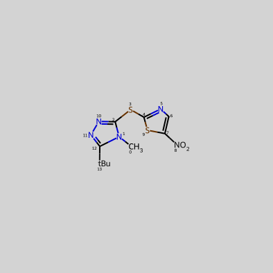 Cn1c(Sc2ncc([N+](=O)[O-])s2)nnc1C(C)(C)C